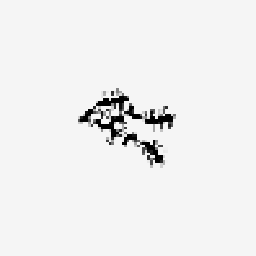 CC(COCC(F)(F)C(F)(F)C(C)(F)F)OC(=O)CC(C(=O)OC(C)COCC(F)(F)C(F)(F)C(F)(F)F)C(O)C(=O)OC(C)COCC(F)(F)C(F)(F)C(F)(F)F